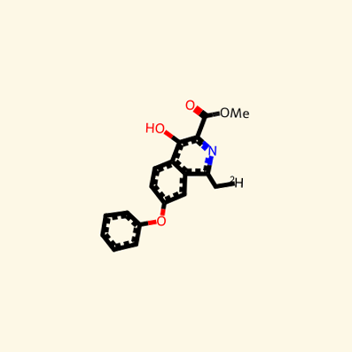 [2H]Cc1nc(C(=O)OC)c(O)c2ccc(Oc3ccccc3)cc12